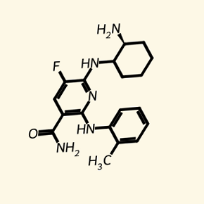 Cc1ccccc1Nc1nc(NC2CCCC[C@@H]2N)c(F)cc1C(N)=O